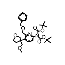 COCC1(c2ccc(N(C(=O)OC(C)(C)C)C(=O)OC(C)(C)C)nc2COCc2ccccc2)CCOC1